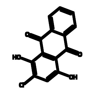 O=C1c2ccccc2C(=O)c2c(O)c(Cl)cc(O)c21